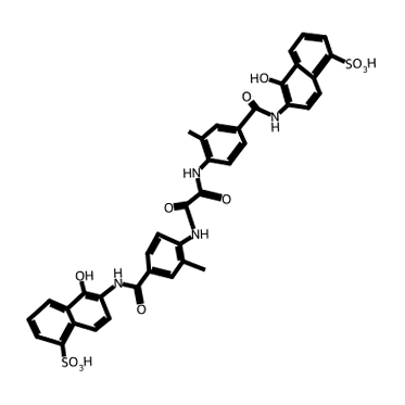 Cc1cc(C(=O)Nc2ccc3c(S(=O)(=O)O)cccc3c2O)ccc1NC(=O)C(=O)Nc1ccc(C(=O)Nc2ccc3c(S(=O)(=O)O)cccc3c2O)cc1C